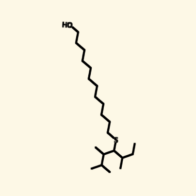 CCC(C)C(SCCCCCCCCCCCCO)C(C)C(C)C